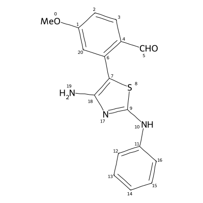 COc1ccc(C=O)c(-c2sc(Nc3ccccc3)nc2N)c1